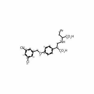 CC(C)CC(NCC(C(=O)O)c1ccc(OCc2cc(Cl)cc(Cl)c2)cc1)C(=O)O